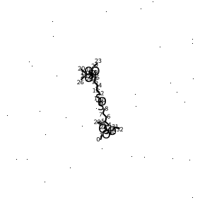 CCO[Si](CCCCCSOSCCCCC[Si](OCC)(OCC)OCC)(OCC)OCC